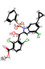 CC(C)(C)OC(=O)c1ccc(Cl)c([C@@H](O)c2cc3c(F)cc(C4CC4)cc3n2S(=O)(=O)c2ccccc2)c1Cl